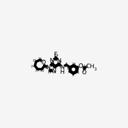 CC(=O)Oc1cccc(CNc2nc(F)nc3c2ncn3C2CCCCCO2)c1